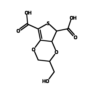 O=C(O)C1=C2OCC(CO)OC2C(C(=O)O)S1